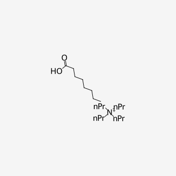 CCCCCCCC(=O)O.CCC[N+](CCC)(CCC)CCC